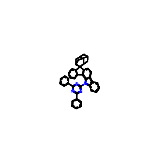 c1ccc(-c2nc(-c3ccccc3)nc(-n3c4ccccc4c4ccc5c(c43)-c3ccccc3C53C4CC5CC(C4)CC3C5)n2)cc1